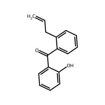 C=CCc1ccccc1C(=O)c1ccccc1O